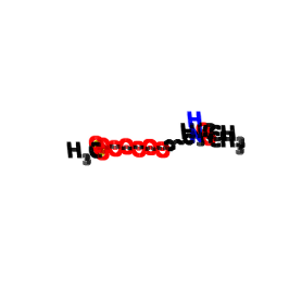 CC(C)(C)OC(=O)CNc1ccc(/C=C/c2ccc(OCCOCCOCCOCCOCCOS(C)(=O)=O)cc2)cc1